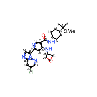 COC(C)(C)[C@H]1CC[C@H](NC(=O)c2cnc(-c3cnc4cc(Cl)cnn34)cc2NC2COC2)CC1